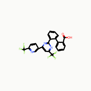 O=C(O)c1ccccc1-c1ccccc1-c1nc(-c2ccc(C(F)(F)F)nc2)cc(C(F)(F)F)n1